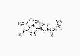 COC(=O)[C@H](C(C)C)N(C)C(=O)[C@H]1CCN(C(=O)[C@@H]2CN2C)C1